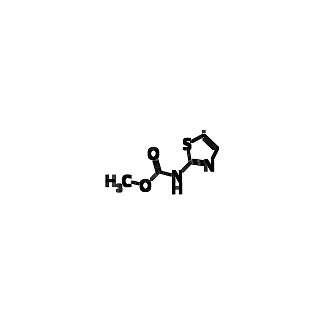 COC(=O)Nc1nc[c]s1